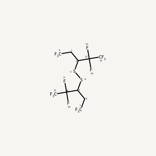 FC(F)(F)CC(SSC(CC(F)(F)F)C(F)(F)C(F)(F)F)C(F)(F)C(F)(F)F